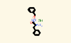 Cl.NC(Cc1ccccc1)C(=O)NOCc1ccccc1